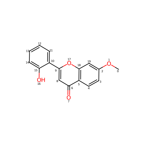 COc1ccc2c(=O)cc(-c3ccccc3O)oc2c1